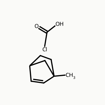 CC12C=CC(CC1)C2.O=C(O)Cl